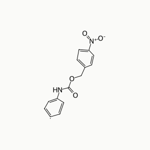 O=C(Nc1cc[c]cc1)OCc1ccc([N+](=O)[O-])cc1